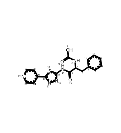 O=C(O)NC(Cc1ccccc1)C(=O)Nc1nnc(-c2ccncc2)s1